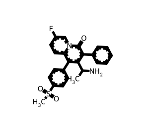 CC(N)c1c(-c2ccccc2)c(=O)n2cc(F)ccc2c1-c1ccc(S(C)(=O)=O)cc1